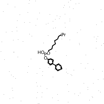 CC(C)CCCCCCCOP(O)Oc1ccc(-c2ccccc2)cc1